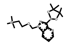 CC1(C)OB(c2nn(COCC[Si](C)(C)C)c3cccnc23)OC1(C)C